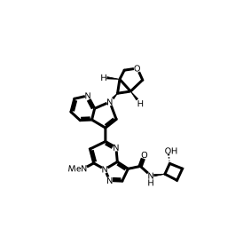 CNc1cc(-c2cn([C@H]3[C@@H]4COC[C@@H]43)c3ncccc23)nc2c(C(=O)N[C@@H]3CC[C@H]3O)cnn12